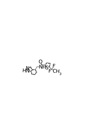 CC(F)(F)c1ccc(C(=O)NCc2cccc3[nH]ncc23)s1